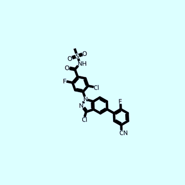 CS(=O)(=O)NC(=O)c1cc(Cl)c(-n2nc(Cl)c3cc(-c4cc(C#N)ccc4F)ccc32)cc1F